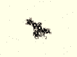 COc1cc(N2C[C@H](C)N(CC(C)C)[C@@H](C)C2)c(Nc2ncnc(Cl)c2N)cc1-c1ccc(N2C[C@@H](C)N(C)[C@@H](C)C2)cc1F